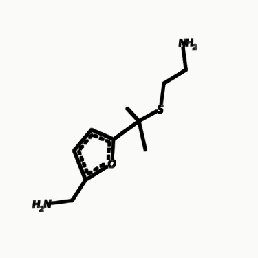 CC(C)(SCCN)c1ccc(CN)o1